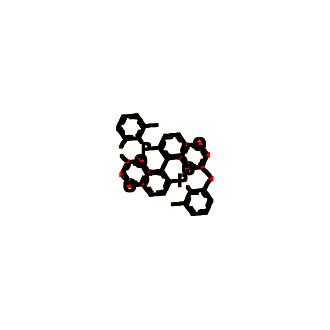 Cc1cccc(C)c1P(c1ccc2c(c1-c1c(P(c3c(C)cccc3C)c3c(C)cccc3C)ccc3c1OCCO3)OCCO2)c1c(C)cccc1C